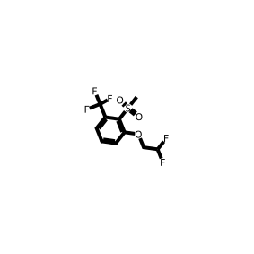 CS(=O)(=O)c1c(OCC(F)F)cccc1C(F)(F)F